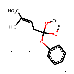 CCOC(CC=C(C)C(=O)O)(OCC)Oc1ccccc1